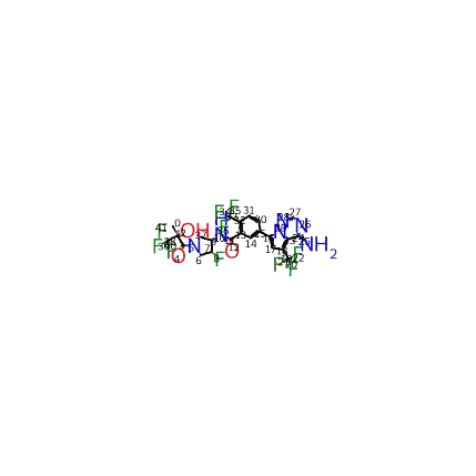 C[C@@](O)(C(=O)N1C[C@H](F)[C@H](NC(=O)c2cc(-c3cc(C(F)(F)F)c4c(N)ncnn34)ccc2C(F)(F)F)C1)C(F)(F)F